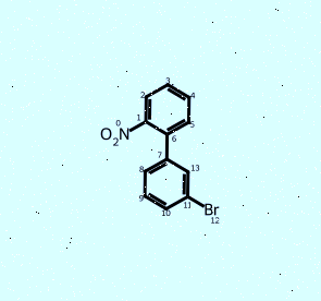 O=[N+]([O-])c1c[c]ccc1-c1cccc(Br)c1